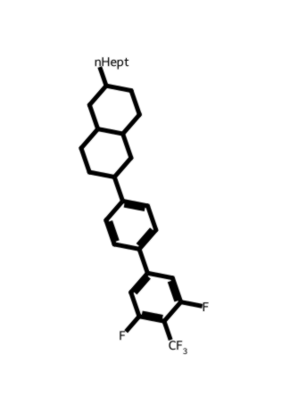 CCCCCCCC1CCC2CC(c3ccc(-c4cc(F)c(C(F)(F)F)c(F)c4)cc3)CCC2C1